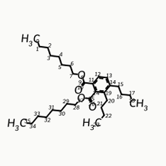 CCCCCCCCOC(=O)c1ccc(CCCC)c(CCCC)c1C(=O)OCCCCCCCC